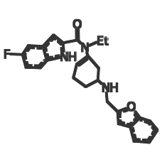 CCN(C(=O)c1cc2cc(F)ccc2[nH]1)C1=CCCC(NCc2cc3ccccc3o2)C1